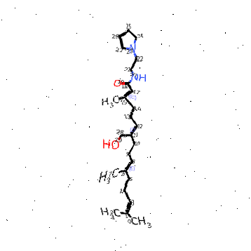 CC(C)=CCC/C(C)=C/CC/C(=C/CC/C(C)=C/C(=O)NCCN1CCCC1)CO